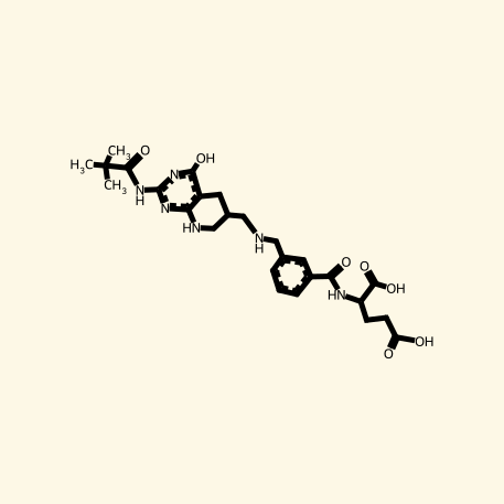 CC(C)(C)C(=O)Nc1nc(O)c2c(n1)NCC(CNCc1cccc(C(=O)NC(CCC(=O)O)C(=O)O)c1)C2